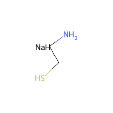 NCCS.[NaH]